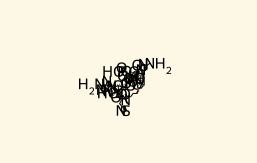 C=CCCC(=O)N(C)C(Cc1cscn1)C(=O)O[C@H]1[C@@H](O)[C@H](n2cnc3c(N)ncnc32)O[C@H]1COP(=O)(O)O[C@H]1[C@@H](O[C@@H]2CCCO2)[C@H](n2ccc(N)nc2=O)O[C@@H]1COP(=O)(O)O